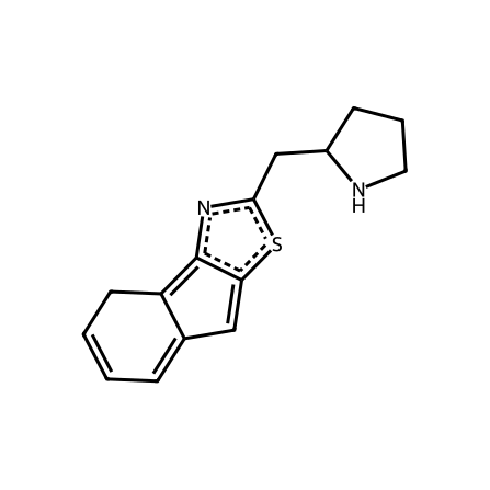 C1=CCC2=c3nc(CC4CCCN4)sc3=CC2=C1